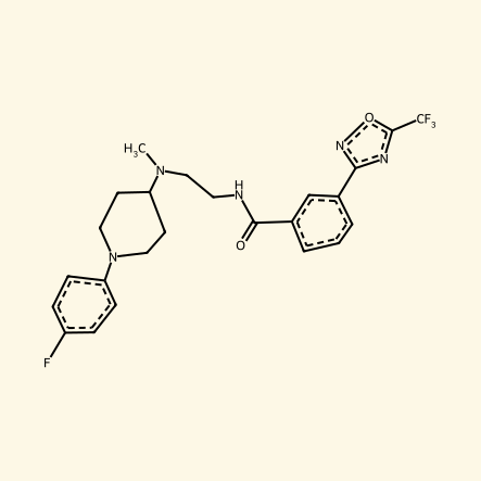 CN(CCNC(=O)c1cccc(-c2noc(C(F)(F)F)n2)c1)C1CCN(c2ccc(F)cc2)CC1